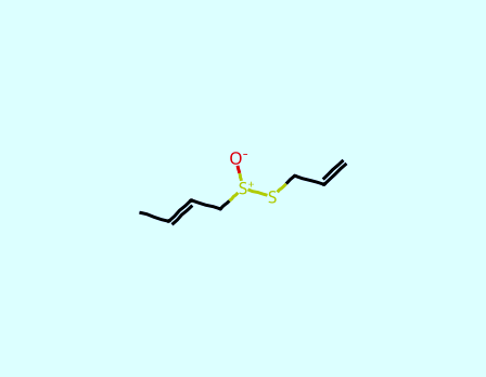 C=CCS[S+]([O-])CC=CC